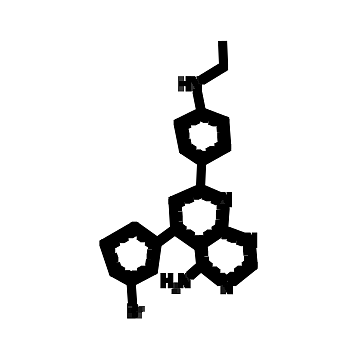 CCNc1ccc(-c2cc(-c3cccc(Br)c3)c3c(N)ncnc3n2)cc1